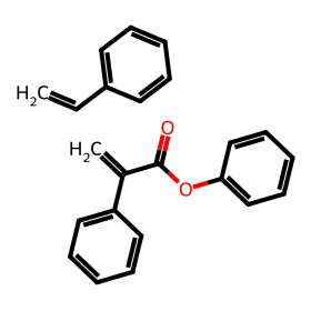 C=C(C(=O)Oc1ccccc1)c1ccccc1.C=Cc1ccccc1